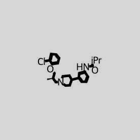 CC(C)C(=O)Nc1cccc(C2CCN(C[C@@H](C)COc3ccccc3Cl)CC2)c1